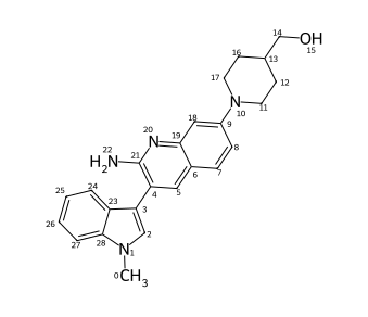 Cn1cc(-c2cc3ccc(N4CCC(CO)CC4)cc3nc2N)c2ccccc21